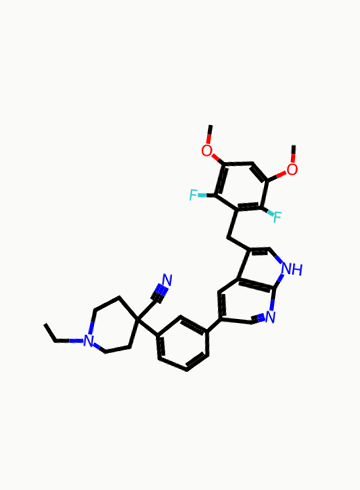 CCN1CCC(C#N)(c2cccc(-c3cnc4[nH]cc(Cc5c(F)c(OC)cc(OC)c5F)c4c3)c2)CC1